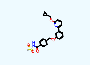 CS(=O)(=O)NC(=O)c1ccc(COc2cccc(-c3cccc(OCC4CC4)n3)c2)cc1